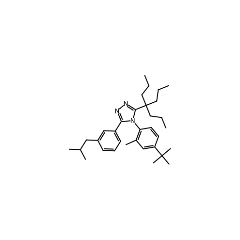 CCCC(CCC)(CCC)c1nnc(-c2cccc(CC(C)C)c2)n1-c1ccc(C(C)(C)C)cc1C